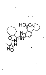 Cc1nocc1C(=O)NC(c1nc2c(F)c(C3CCCCN3C(=O)O)ccc2[nH]1)C1CCCCCCC1